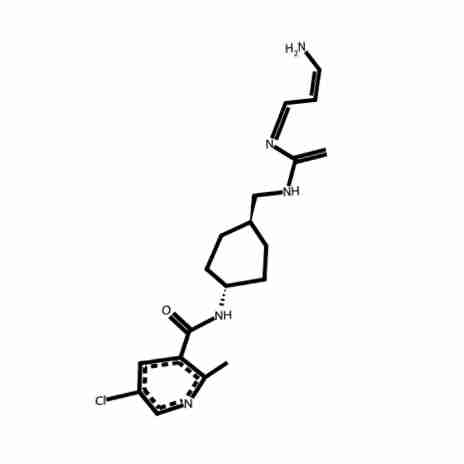 C=C(/N=C\C=C/N)NC[C@H]1CC[C@H](NC(=O)c2cc(Cl)cnc2C)CC1